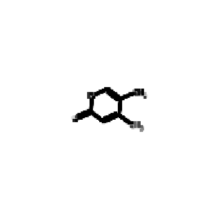 Cc1[c]c(=O)[nH]cc1C